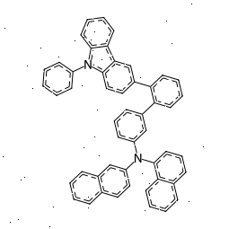 c1ccc(-n2c3ccccc3c3cc(-c4ccccc4-c4cccc(N(c5ccc6ccccc6c5)c5cccc6ccccc56)c4)ccc32)cc1